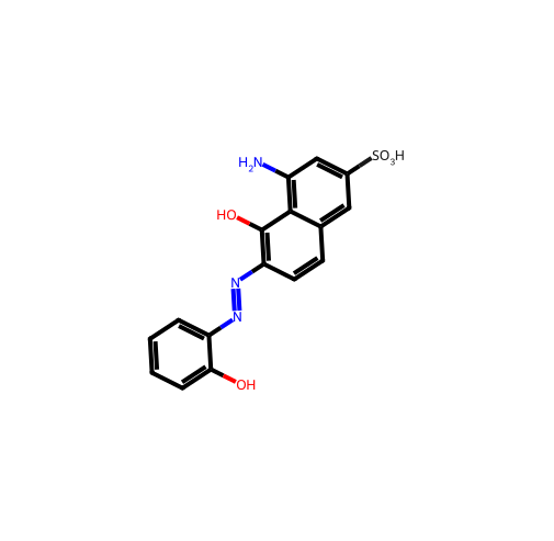 Nc1cc(S(=O)(=O)O)cc2ccc(/N=N/c3ccccc3O)c(O)c12